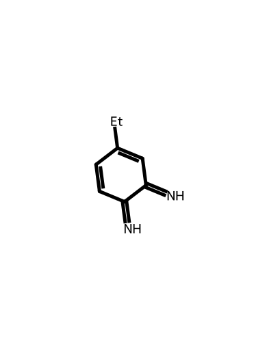 CCC1=CC(=N)C(=N)C=C1